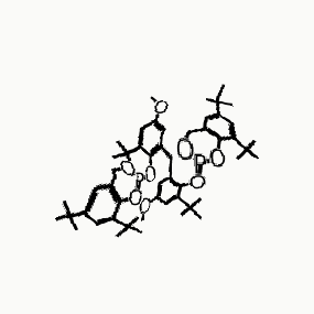 COc1cc(Cc2cc(OC)cc(C(C)(C)C)c2OP2OCc3cc(C(C)(C)C)cc(C(C)(C)C)c3O2)c(OP2OCc3cc(C(C)(C)C)cc(C(C)(C)C)c3O2)c(C(C)(C)C)c1